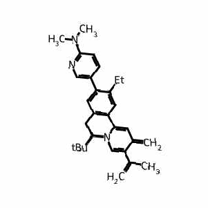 C=C(C)C1=CN2C(=CC1=C)c1cc(CC)c(-c3ccc(N(C)C)nc3)cc1CC2C(C)(C)C